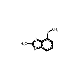 CSc1cccc2nc(C)oc12